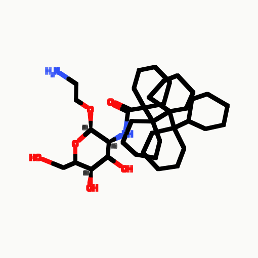 NCCO[C@@H]1OC(CO)[C@H](O)C(O)[C@@H]1NC(=O)C1(C2(C3(C4(C5CCCCC5)CCCCC4)CCCCC3)CCCCC2)CCCCC1